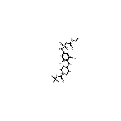 CCOC(=O)CS(=O)(=O)Nc1cc(F)c(OC2CCN(C(=O)OC(C)(C)C)CC2)c(F)c1